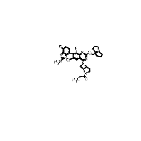 C=CC(=O)N1CCC2C1CN2c1nc(OCC23CCCN2CCC3)nc2c(F)c(-c3ccc(F)c4sc(N)nc34)c(Cl)cc12